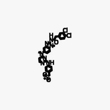 CN(c1ccc2c(c1)nc(NC(=O)Cc1ccc(Cl)c(Cl)c1)n2C)c1ccnc(Nc2ccc(CS(C)(=O)=O)cc2)n1